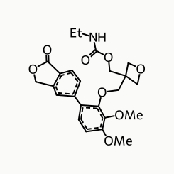 CCNC(=O)OCC1(COc2c(-c3ccc4c(c3)COC4=O)ccc(OC)c2OC)COC1